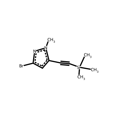 Cn1nc(Br)cc1C#C[Si](C)(C)C